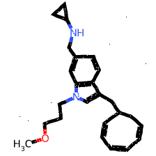 COCCCn1cc(CC2C=C/C=C\C=C/C2)c2ccc(CNC3CC3)cc21